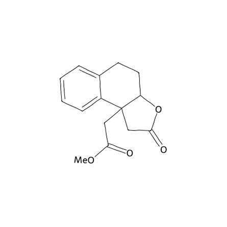 COC(=O)CC12CC(=O)OC1CCc1ccccc12